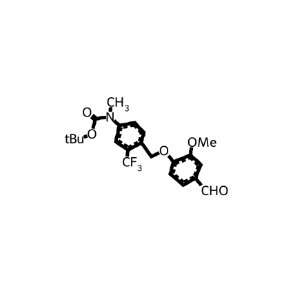 COc1cc(C=O)ccc1OCc1ccc(N(C)C(=O)OC(C)(C)C)cc1C(F)(F)F